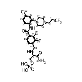 NC(=O)[C@@H](COP(=O)(O)O)NCc1ccc(C(=O)Nc2ccc(Cl)cc2N2CCN(CCC(F)(F)F)CC2)c(F)c1F